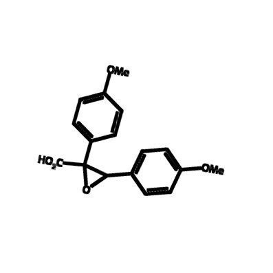 COc1ccc(C2OC2(C(=O)O)c2ccc(OC)cc2)cc1